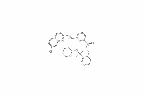 CC(C)(OC1CCCCO1)C1=CC=CCC1CC[C@H](O)c1cccc(/C=C/c2ccc3ccc(Cl)cc3n2)c1